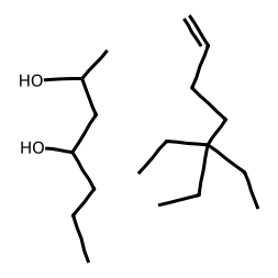 C=CCCC(CC)(CC)CC.CCCC(O)CC(C)O